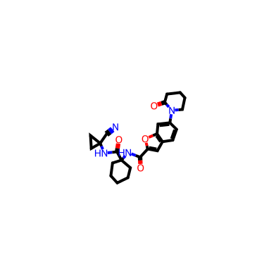 N#CC1(NC(=O)C2(NC(=O)c3cc4ccc(N5CCCCC5=O)cc4o3)CCCCC2)CC1